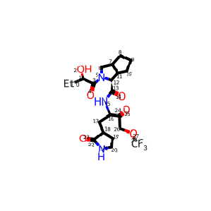 CCC(O)C(=O)N1CC2CCCC2[C@H]1C(=O)NC(CC1CCNC1=O)C(=O)COC(F)(F)F